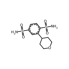 NS(=O)(=O)c1ccc(S(N)(=O)=O)c(C2CCOCC2)c1